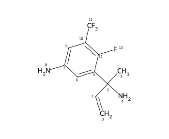 C=CC(C)(N)c1cc(N)cc(C(F)(F)F)c1F